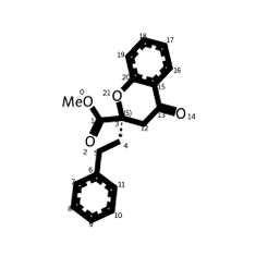 COC(=O)[C@]1(CCc2ccccc2)CC(=O)c2ccccc2O1